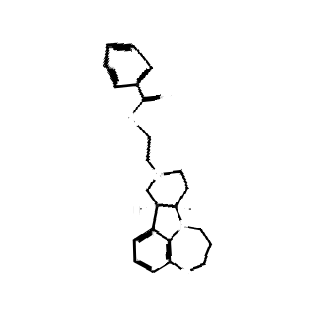 O=C(NCCN1CC[C@@H]2[C@H](C1)c1cccc3c1N2CCCS3)c1ccccc1